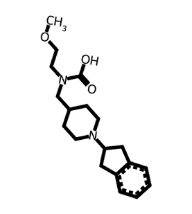 COCCN(CC1CCN(C2Cc3ccccc3C2)CC1)C(=O)O